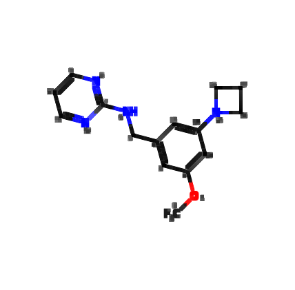 FC(F)(F)Oc1cc(CNc2nc[c]cn2)cc(N2CCC2)c1